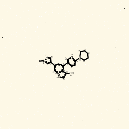 Cn1cc(-c2cc(-c3ccc(N4CCCCC4)nc3)c3c(C#N)cnn3c2)cn1